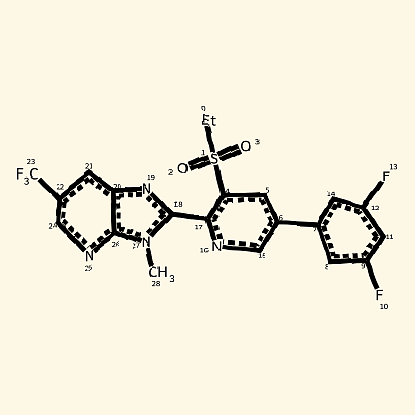 CCS(=O)(=O)c1cc(-c2cc(F)cc(F)c2)cnc1-c1nc2cc(C(F)(F)F)cnc2n1C